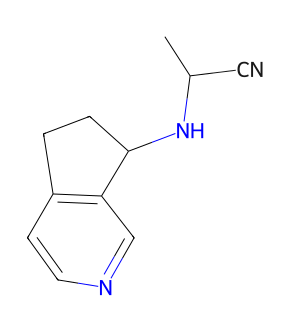 CC(C#N)NC1CCc2ccncc21